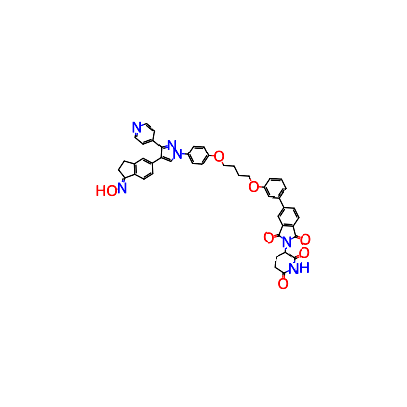 O=C1CCC(N2C(=O)c3ccc(-c4cccc(OCCCCOc5ccc(-n6cc(-c7ccc8c(c7)CCC8=NO)c(-c7ccncc7)n6)cc5)c4)cc3C2=O)C(=O)N1